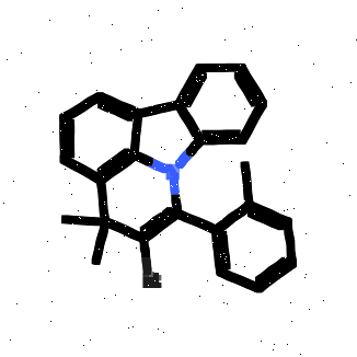 CCC1=C(c2ccccc2C)n2c3ccccc3c3cccc(c32)C1(C)C